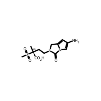 C[C@@](CCN1Cc2cc(N)cn2C1=O)(C(=O)O)S(C)(=O)=O